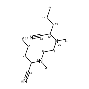 CCCC(C#N)N(C)CCN(C)C(C#N)CCC